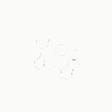 C[C@@H]1CN(c2cccc(CNc3ncnc4[nH]cc([C@@H]5CCOC[C@@H]5O)c34)n2)C[C@H](C)N1